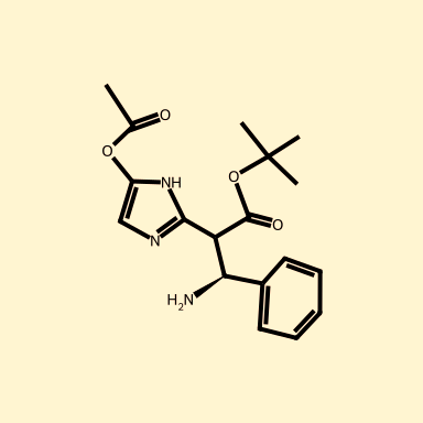 CC(=O)Oc1cnc(C(C(=O)OC(C)(C)C)[C@H](N)c2ccccc2)[nH]1